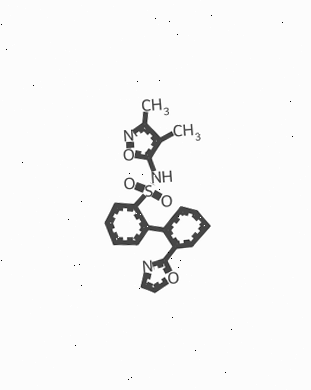 Cc1noc(NS(=O)(=O)c2ccccc2-c2ccccc2-c2ncco2)c1C